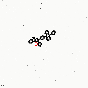 CC1(C)c2ccccc2-c2c1cc(-c1ccc(-c3c4ccccc4c(-c4ccccc4)c4ccccc34)cc1)c1c2oc2ccccc21